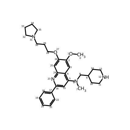 COc1cc2c(N(C)CC3CCNCC3)cc(-c3ccccc3)nc2cc1OCCCN1CCCC1